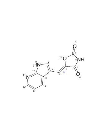 O=C1NC(=O)/C(=C/c2c[nH]c3ncccc23)O1